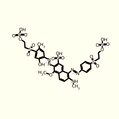 CNc1ccc2c(OC)c(/N=N/c3cc(C)c(S(=O)(=O)CCOS(=O)(=O)O)cc3O)c(S(=O)(=O)O)cc2c1/N=N/c1ccc(S(=O)(=O)CCOS(=O)(=O)O)cc1